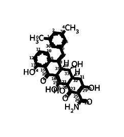 Cc1cc(C)cc(/C=C2\c3cccc(O)c3C(=O)C3=C(O)[C@]4(O)C(=O)C(C(N)=O)=C(O)C[C@@H]4[C@@H](O)[C@@H]32)c1